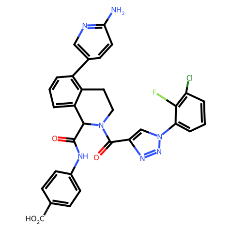 Nc1ccc(-c2cccc3c2CCN(C(=O)c2cn(-c4cccc(Cl)c4F)nn2)C3C(=O)Nc2ccc(C(=O)O)cc2)cn1